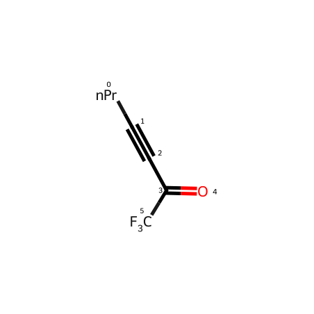 CCCC#CC(=O)C(F)(F)F